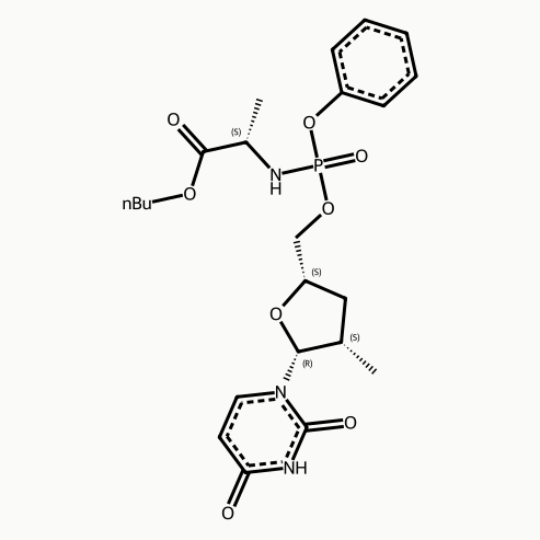 CCCCOC(=O)[C@H](C)NP(=O)(OC[C@@H]1C[C@H](C)[C@H](n2ccc(=O)[nH]c2=O)O1)Oc1ccccc1